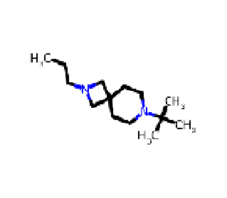 CCCN1CC2(CCN(C(C)(C)C)CC2)C1